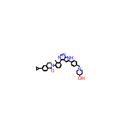 Cc1c(-c2ncnc3[nH]c(-c4ccc(CN5CCC(O)CC5)cc4)cc23)cccc1N1CCc2cc(C3CC3)ccc2C1=O